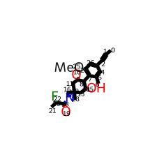 CC#Cc1cc(C)c(C2C(=O)CC3(CC2O)CN(C(=O)C(C)F)C3)c(OC)c1